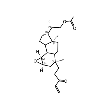 C=CC(=O)CC[C@@]1(C)C[C@H]2O[C@H]2C2C1CC[C@@]1(C)C2CC[C@@H]1[C@H](C)COC(C)=O